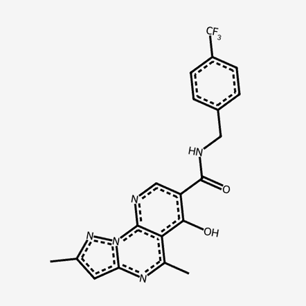 Cc1cc2nc(C)c3c(O)c(C(=O)NCc4ccc(C(F)(F)F)cc4)cnc3n2n1